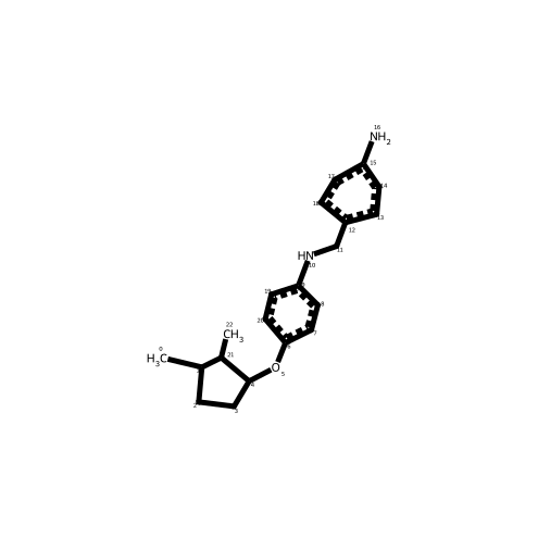 CC1CCC(Oc2ccc(NCc3ccc(N)cc3)cc2)C1C